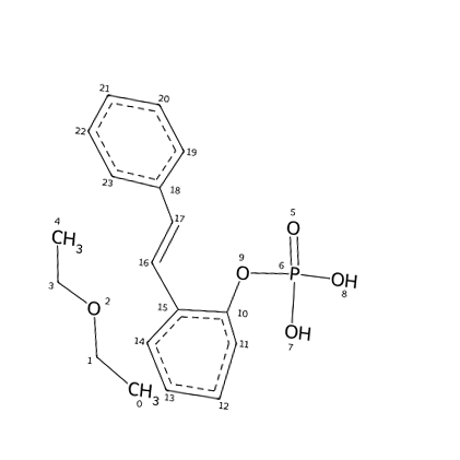 CCOCC.O=P(O)(O)Oc1ccccc1/C=C/c1ccccc1